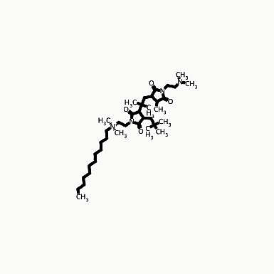 CCCCCCCCCCCC[N+](C)(C)CCN1C(=O)C(CC(C)(C)C)C(C(C)(C)CC2C(=O)N(CCN(C)C)C(=O)C2C)C1=O